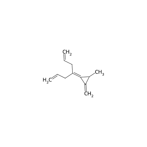 C=CCC(CC=C)=C1C(=C)C1C